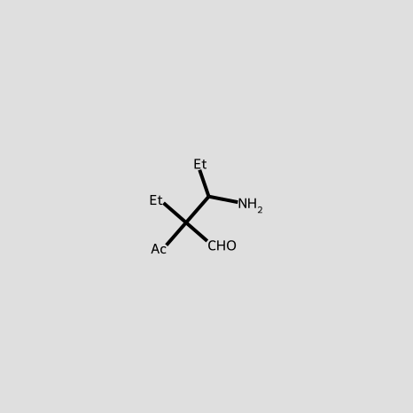 CCC(N)C(C=O)(CC)C(C)=O